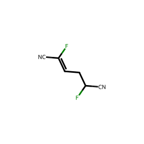 N#CC(F)=CCC(F)C#N